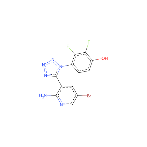 Nc1ncc(Br)cc1-c1nnnn1-c1ccc(O)c(F)c1F